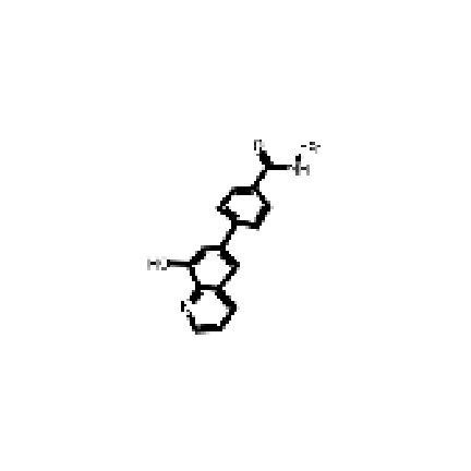 CCCNC(=O)c1ccc(-c2cc(O)c3ncccc3c2)cc1